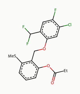 CCC(=O)Oc1cccc(SC)c1COc1cc(Cl)c(F)cc1C(F)F